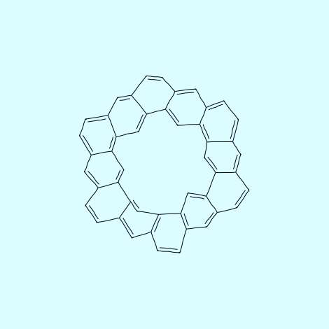 c1cc2cc3ccc4cc5ccc6cc7ccc8cc9ccc%10cc%11ccc%12cc1c1cc%12c%11cc%10c9cc8c7cc6c5cc4c3cc21